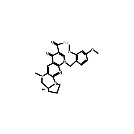 COc1ccc(Cn2cc(C(=O)O)c(=O)c3cc4c(nc32)N2CCC[C@H]2CN4C)c(OC)c1